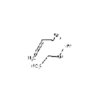 C=CCN.CCCNCC(=O)O